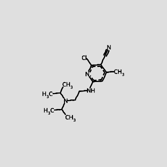 Cc1cc(NCCN(C(C)C)C(C)C)nc(Cl)c1C#N